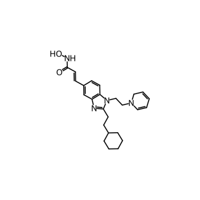 O=C(C=Cc1ccc2c(c1)nc(CCC1CCCCC1)n2CCN1C=CC=CC1)NO